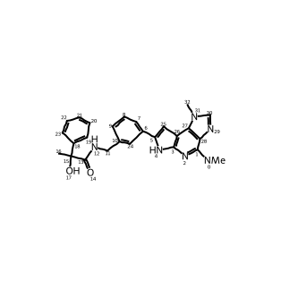 CNc1nc2[nH]c(-c3cccc(CNC(=O)C(C)(O)c4ccccc4)c3)cc2c2c1ncn2C